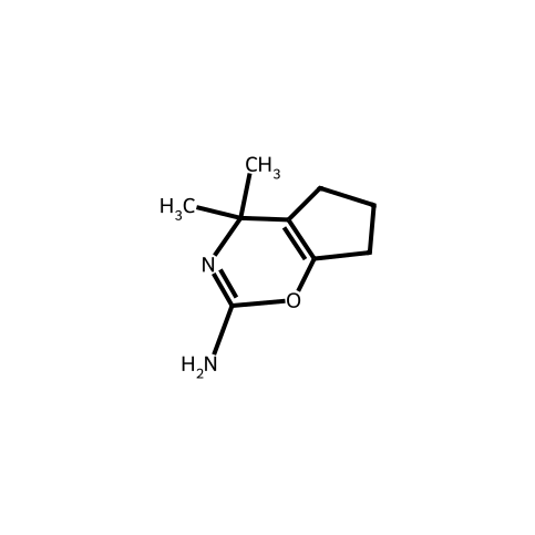 CC1(C)N=C(N)OC2=C1CCC2